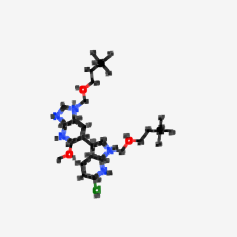 COc1nc2ncn(COCC[Si](C)(C)C)c2cc1-c1cn(COCC[Si](C)(C)C)c2nc(Cl)ccc12